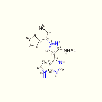 CC(=O)Nc1nn([C@@H](CC#N)C2CCCC2)cc1-c1ncnc2[nH]ccc12